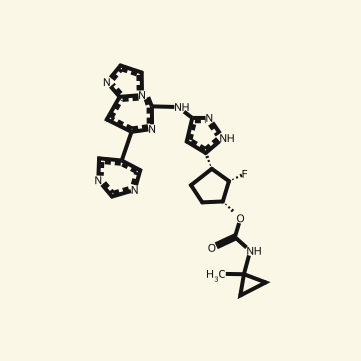 CC1(NC(=O)O[C@@H]2CC[C@H](c3cc(Nc4nc(-c5cncnc5)cc5nccn45)n[nH]3)[C@@H]2F)CC1